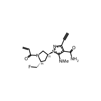 C#Cc1nn([C@H]2C[C@H](CF)N(C(=O)C=C)C2)c(NC)c1C(N)=O